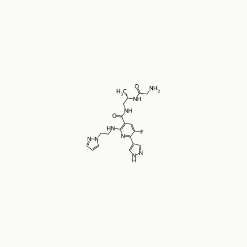 C[C@H](CNC(=O)c1cc(F)c(-c2cn[nH]c2)nc1NCCn1cccn1)NC(=O)CN